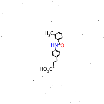 Cc1cccc(C(=O)Nc2ccc(CCCC(=O)O)cc2)c1